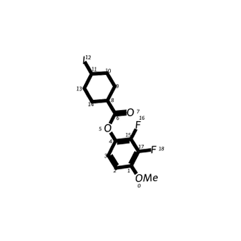 COc1ccc(OC(=O)C2CCC(I)CC2)c(F)c1F